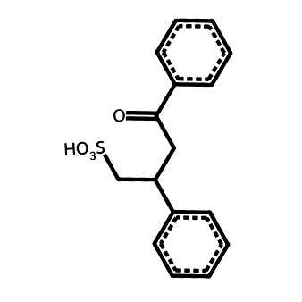 O=C(CC(CS(=O)(=O)O)c1ccccc1)c1ccccc1